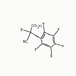 N#CC(F)(C(=O)O)c1c(F)c(F)c(F)c(F)c1F